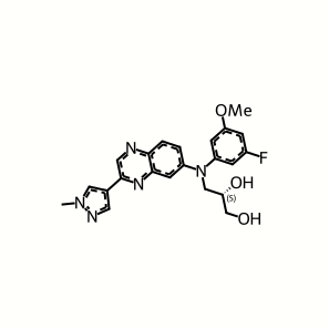 COc1cc(F)cc(N(C[C@H](O)CO)c2ccc3ncc(-c4cnn(C)c4)nc3c2)c1